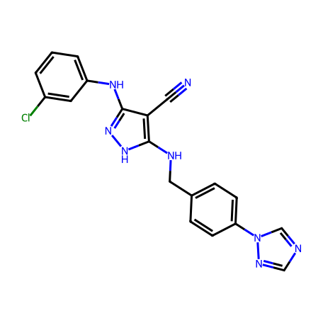 N#Cc1c(Nc2cccc(Cl)c2)n[nH]c1NCc1ccc(-n2cncn2)cc1